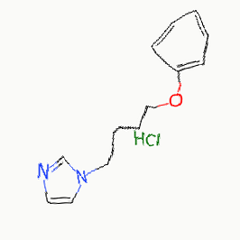 Cl.c1ccc(OCCCCn2ccnc2)cc1